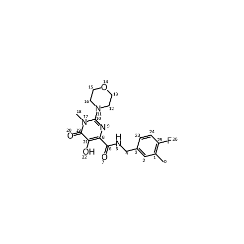 Cc1cc(CNC(=O)c2nc(N3CCOCC3)n(C)c(=O)c2O)ccc1F